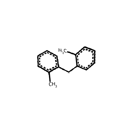 Cc1ccccc1[C]c1ccccc1C